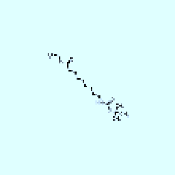 CCOC(=O)CCCCCCCCNC(=O)OC(C)(C)C